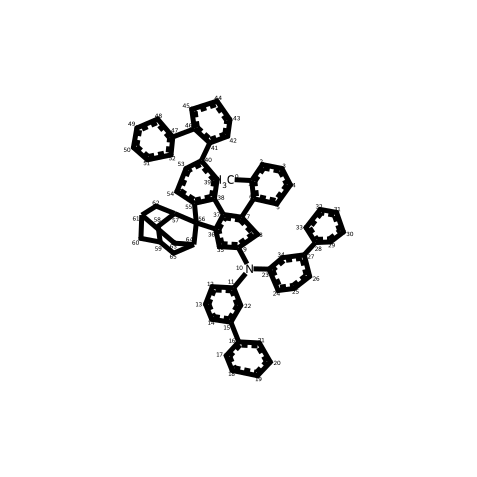 Cc1ccccc1-c1cc(N(c2cccc(-c3ccccc3)c2)c2cccc(-c3ccccc3)c2)cc2c1-c1cc(-c3ccccc3-c3ccccc3)ccc1C21C2CC3CC(C2)CC1C3